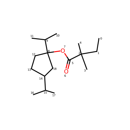 CCC(C)(C)C(=O)OC1(C(C)C)CCC(C(C)C)C1